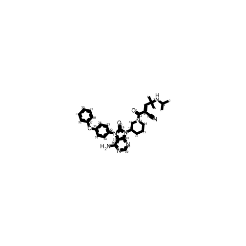 CC(C)NC(C)(C)C=C(C#N)C(=O)N1CCCC(n2c(=O)n(-c3ccc(Oc4ccccc4)cc3)c3c(N)ncnc32)C1